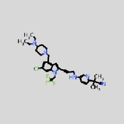 CCN(CC)C1CCN(Cc2cc(Cl)cc3c2cc(C#CCNc2ccc(C(C)(C)C#N)nc2)n3CC(F)(F)F)CC1